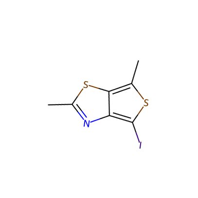 Cc1nc2c(I)sc(C)c2s1